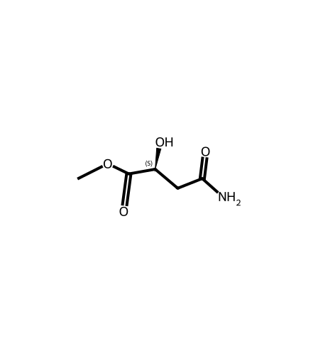 COC(=O)[C@@H](O)CC(N)=O